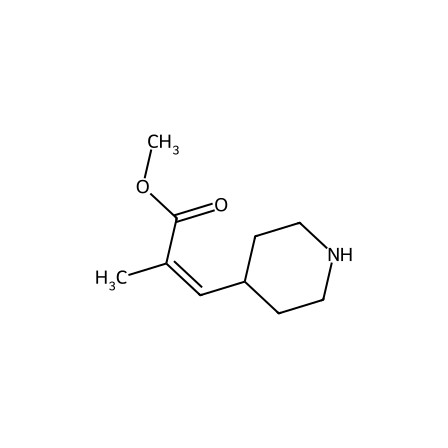 COC(=O)C(C)=CC1CCNCC1